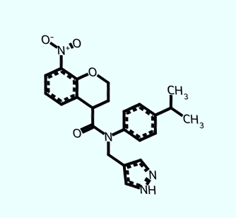 CC(C)c1ccc(N(Cc2cn[nH]c2)C(=O)C2CCOc3c2cccc3[N+](=O)[O-])cc1